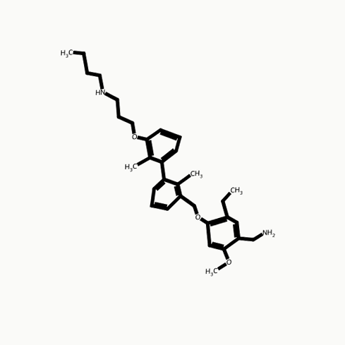 CCCCNCCCOc1cccc(-c2cccc(COc3cc(OC)c(CN)cc3CC)c2C)c1C